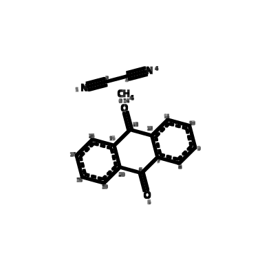 C.N#CC#N.O=C1c2ccccc2C(=O)c2ccccc21